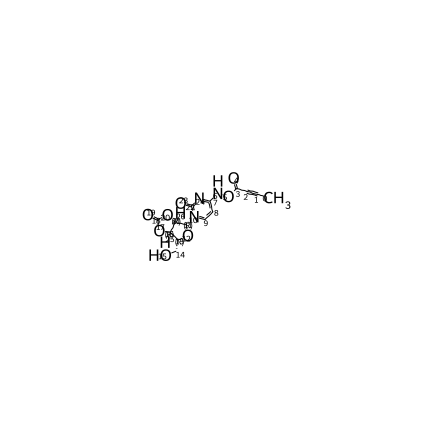 CC#CC(=O)ONc1ccn([C@@H]2O[C@H](CO)[C@H]3OC(=O)O[C@H]32)c(=O)n1